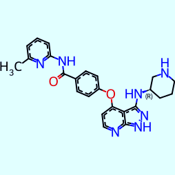 Cc1cccc(NC(=O)c2ccc(Oc3ccnc4[nH]nc(N[C@@H]5CCCNC5)c34)cc2)n1